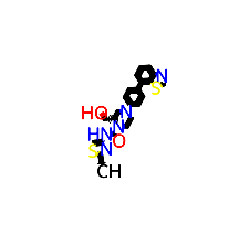 C#Cc1nc(NC(=O)N2CCN(c3ccc(-c4cccc5ncsc45)cc3)C[C@@H]2CO)cs1